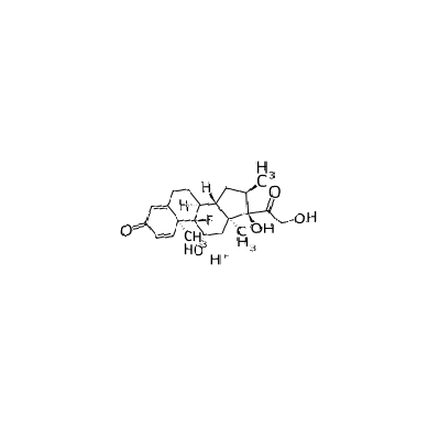 C[C@@H]1C[C@H]2[C@@H]3CCC4=CC(=O)C=C[C@]4(C)[C@@]3(F)[C@@H](O)C[C@]2(C)[C@@]1(O)C(=O)CO.[H+]